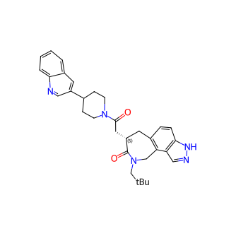 CC(C)(C)CN1Cc2c(ccc3[nH]ncc23)C[C@@H](CC(=O)N2CCC(c3cnc4ccccc4c3)CC2)C1=O